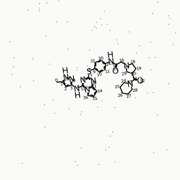 Cc1cc(Nc2nc(Sc3ccc(NC(=O)CN4CCC(C(=O)N5CCCCC5)C4)cc3)nc3cccn23)n[nH]1